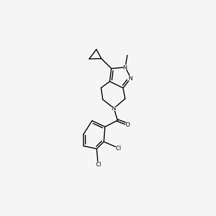 Cn1nc2c(c1C1CC1)CCN(C(=O)c1cccc(Cl)c1Cl)C2